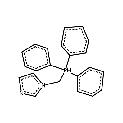 c1ccc([PH](Cn2ccnc2)(c2ccccc2)c2ccccc2)cc1